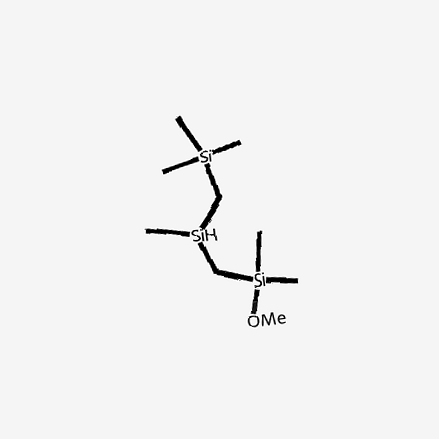 CO[Si](C)(C)C[SiH](C)C[Si](C)(C)C